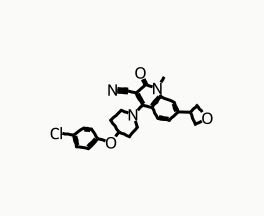 Cn1c(=O)c(C#N)c(N2CCC(Oc3ccc(Cl)cc3)CC2)c2ccc(C3COC3)cc21